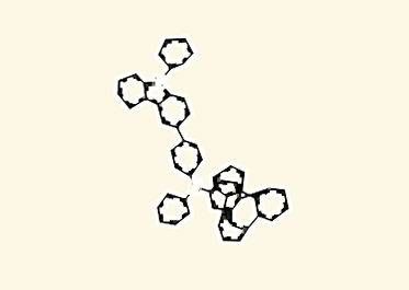 c1ccc(N(c2ccc(-c3ccc4c(c3)c3ccccc3n4-c3ccccc3)cc2)c2ccc3c(c2)-c2c4cccc2-c2cccc-3c2-c2ccccc2-4)cc1